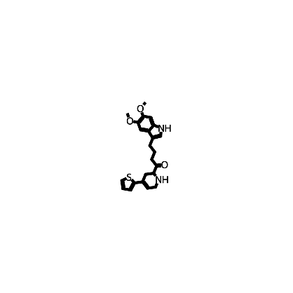 COc1cc2[nH]cc(CCCC(=O)C3CC(c4cccs4)=CCN3)c2cc1OC